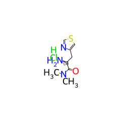 CN(C)C(=O)[C@@H](N)Cc1cscn1.Cl